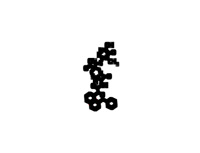 Cn1c(SCC2(C(=O)O)CS[C@@H]3C(NC(=O)C(OC(c4ccccc4)c4ccccc4)c4ccccc4)C(=O)N3C2)nnc(O)c1=O